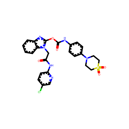 O=C(Cn1c(OC(=O)Nc2ccc(N3CCS(=O)(=O)CC3)cc2)nc2ccccc21)Nc1ccc(Cl)cn1